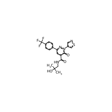 CC(C)(O)CNC(=O)c1cc(-c2ccc(C(F)(F)F)cc2)nn(-c2cnsc2)c1=O